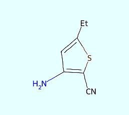 CCc1cc(N)c(C#N)s1